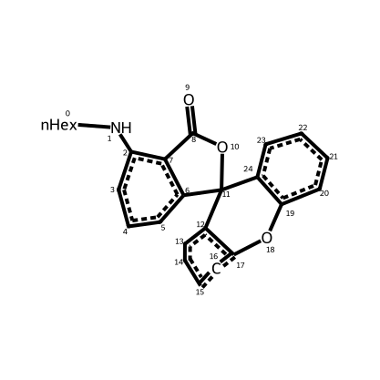 CCCCCCNc1cccc2c1C(=O)OC21c2ccccc2Oc2ccccc21